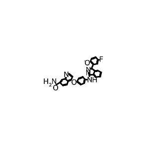 COc1ccc(F)cc1-c1nnc(Nc2ccc(Oc3ccnc4cc(C(N)=O)ccc34)cc2)c2ccccc12